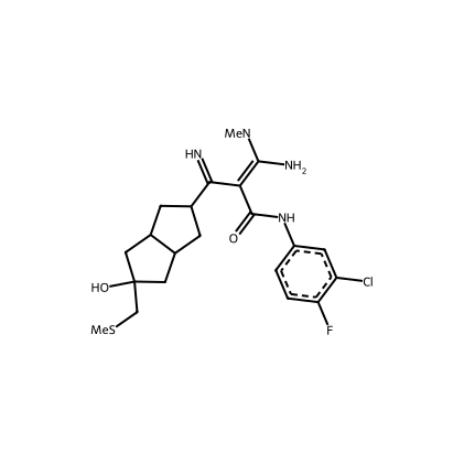 CN/C(N)=C(\C(=N)C1CC2CC(O)(CSC)CC2C1)C(=O)Nc1ccc(F)c(Cl)c1